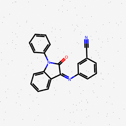 N#Cc1cccc(N=C2C(=O)N(c3ccccc3)c3ccccc32)c1